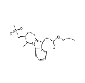 CCCOC(=O)Cc1c2n(c3ccccc13)C(C)C(OS(C)(=O)=O)CC2